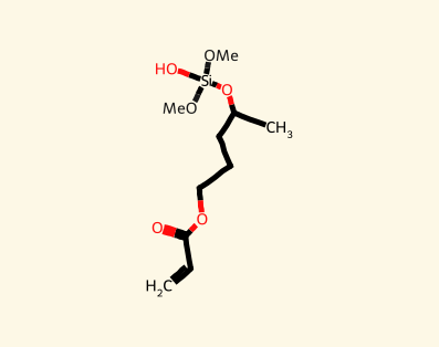 C=CC(=O)OCCCC(C)O[Si](O)(OC)OC